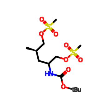 C[C@@H](COS(C)(=O)=O)CC(COS(C)(=O)=O)NC(=O)OC(C)(C)C